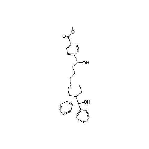 COC(=O)c1ccc(C(O)CCCC2CCC(C(O)(c3ccccc3)c3ccccc3)CC2)cc1